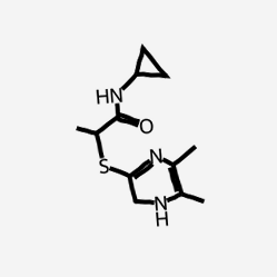 CC1=C(C)NCC(SC(C)C(=O)NC2CC2)=N1